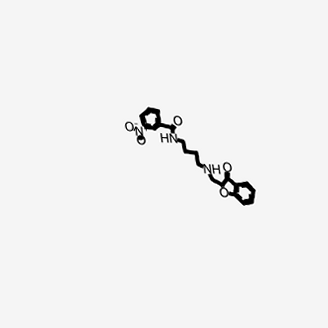 O=C(NCCCCNCC1Oc2ccccc2C1=O)c1cccc([N+](=O)[O-])c1